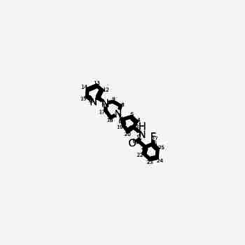 O=C(Nc1ccc(N2CCN(c3ccccn3)CC2)cc1)c1ccccc1F